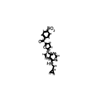 O=C(c1ccc([N+](=O)[O-])cc1)[C@@H]1CC[C@H](n2cnc3c(NCC4CC4)ncnc32)O1